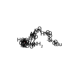 CC1CC(C)(C)N(CCCC(=O)OC(C)(C)C)c2cc3oc(=O)c(C(=O)NCCCCCNC(=O)c4cccc(OCC(N=[N+]=[N-])OCC(=O)NCC#Cc5cn(C6CC(OCN=[N+]=[N-])C(COP(=O)(O)OP(=O)(O)OP(=O)(O)O)O6)c(=O)nc5N)c4)cc3cc21